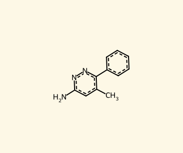 Cc1cc(N)nnc1-c1ccccc1